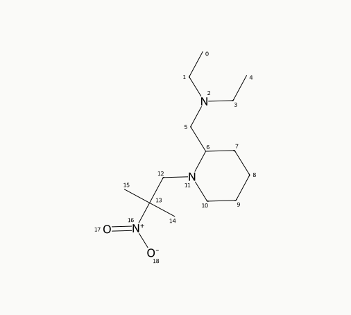 CCN(CC)CC1CCCCN1CC(C)(C)[N+](=O)[O-]